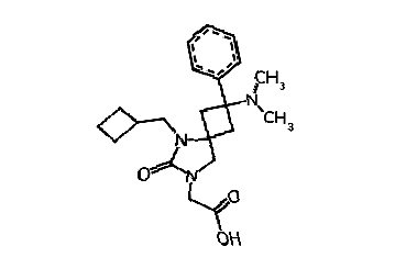 CN(C)C1(c2ccccc2)CC2(CN(CC(=O)O)C(=O)N2CC2CCC2)C1